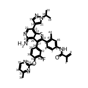 C=C(C)C(=O)Nc1ccc(-c2sc3c(-c4cnn(C(C)C)c4)cnc(N)c3c2-c2ccc(Oc3nccc(C)n3)c(F)c2)c(C)c1